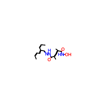 C\C=C/C=C(\C=C/C)/C=N/NC(=O)C(C)=C=C(C)C(=O)NO